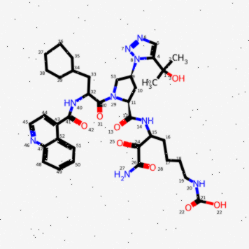 CC(C)(O)c1cnnn1[C@H]1C[C@@H](C(=O)NC(CCCCNC(=O)O)C(=O)C(N)=O)N(C(=O)C(CC2CCCCC2)NC(=O)c2ccnc3ccccc23)C1